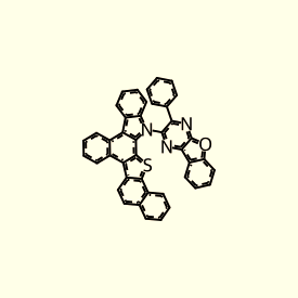 c1ccc(-c2nc3oc4ccccc4c3nc2-n2c3ccccc3c3c4ccccc4c4c5ccc6ccccc6c5sc4c32)cc1